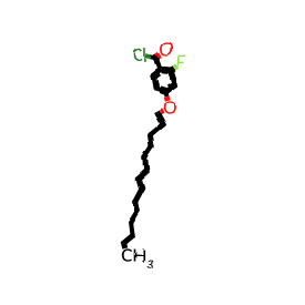 CCCCCCCCCCCCCCOc1ccc(C(=O)Cl)c(F)c1